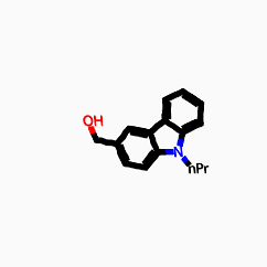 CCCn1c2ccccc2c2cc(CO)ccc21